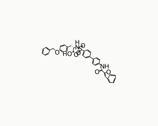 O=C(Nc1ccc(-c2ccc(S(=O)(=O)N[C@@H](Cc3ccc(OCc4ccccc4)cc3)C(=O)O)cc2)cc1)c1cc2ccccc2o1